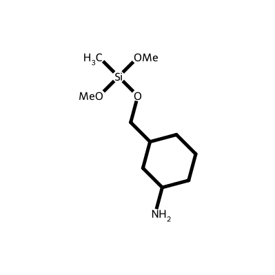 CO[Si](C)(OC)OCC1CCCC(N)C1